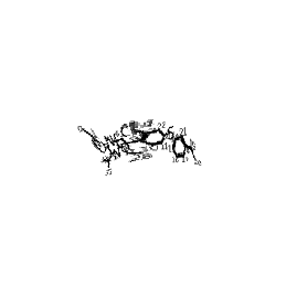 CCOC1=N[C@](C)(CCc2ccc(Sc3cccc(CC)c3)cc2Cl)C(OCC)=N[C@H]1C(C)C